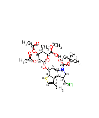 COC(=O)[C@H]1O[C@@H](Oc2cc3c(c4c(C)csc24)[C@H](CCl)CN3C(=O)OC(C)(C)C)[C@H](OC(C)=O)[C@@H](OC(C)=O)[C@@H]1C